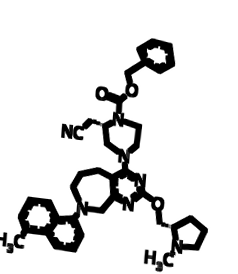 Cc1cccc2c(N3CCCc4c(nc(OC[C@@H]5CCCN5C)nc4N4CCN(C(=O)OCc5ccccc5)[C@@H](CC#N)C4)C3)cccc12